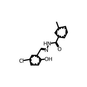 Cc1cccc(C(=O)NN=Cc2cc(Cl)ccc2O)c1